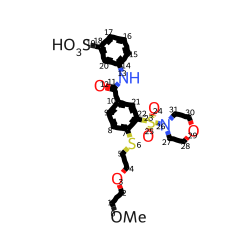 COCCOCCSc1ccc(C(=O)Nc2cccc(S(=O)(=O)O)c2)cc1S(=O)(=O)N1CCOCC1